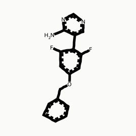 Nc1ncncc1-c1c(F)cc(OCc2ccccc2)cc1F